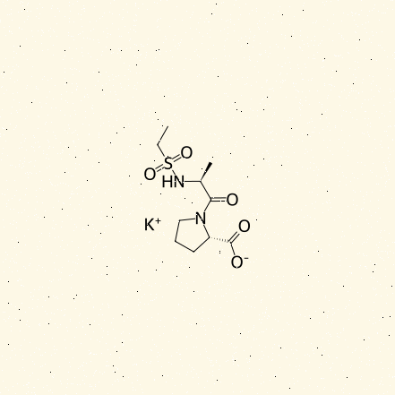 CCS(=O)(=O)N[C@@H](C)C(=O)N1CCC[C@H]1C(=O)[O-].[K+]